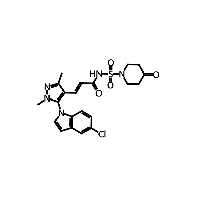 Cc1nn(C)c(-n2ccc3cc(Cl)ccc32)c1C=CC(=O)NS(=O)(=O)N1CCC(=O)CC1